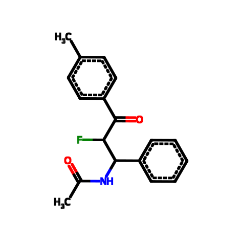 CC(=O)NC(c1ccccc1)C(F)C(=O)c1ccc(C)cc1